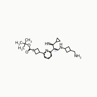 CC(C)(C)OC(=O)N1CC(c2cccc(/C(=C/NC3CC(CN)C3)C(=N)C3CC3)n2)C1